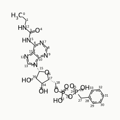 CCNC(=O)Nc1ncnc2c1ncn2[C@@H]1O[C@H](COP(=O)(O)OP(=O)(O)Cc2ccccc2)C(O)[C@@H]1O